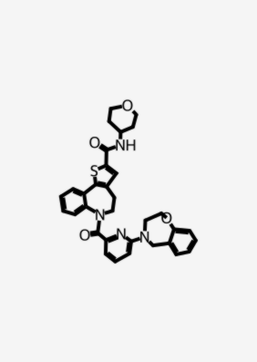 O=C(NC1CCOCC1)c1cc2c(s1)-c1ccccc1N(C(=O)c1cccc(N3CCOc4ccccc4C3)n1)CC2